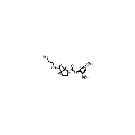 CCCCc1cn(C(C)(C)C)s/c1=N\C(=O)[C@@H]1CC[C@](C)(C(=O)NCCO)C1(C)C